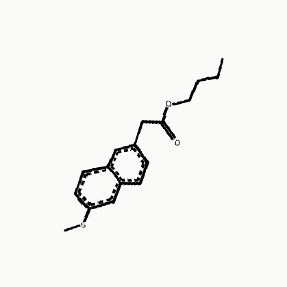 CCCCOC(=O)Cc1ccc2cc(SC)ccc2c1